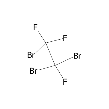 FC(F)(Br)C(F)(Br)Br